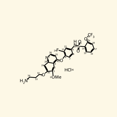 COc1cc2c(Oc3ccc(NS(=O)(=O)c4ccccc4OC(F)(F)F)cc3F)ccnc2cc1OCCCN.Cl